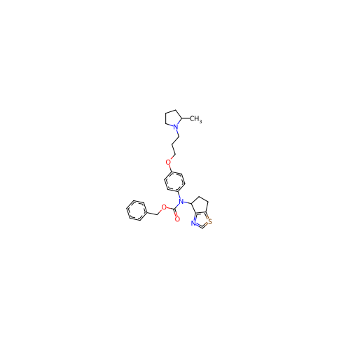 CC1CCCN1CCCOc1ccc(N(C(=O)OCc2ccccc2)C2CCc3scnc32)cc1